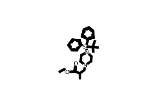 CCOC(=O)C(C)CN1CCN([Si](c2ccccc2)(c2ccccc2)C(C)(C)C)CC1